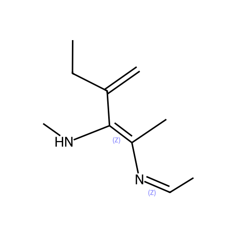 C=C(CC)/C(NC)=C(C)/N=C\C